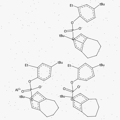 CCc1cc(C(C)(C)C)ccc1OP(=O)([O-])Oc1c2cc(C(C)(C)C)cc1CCCC2.CCc1cc(C(C)(C)C)ccc1OP(=O)([O-])Oc1c2cc(C(C)(C)C)cc1CCCC2.CCc1cc(C(C)(C)C)ccc1OP(=O)([O-])Oc1c2cc(C(C)(C)C)cc1CCCC2.[Al+3]